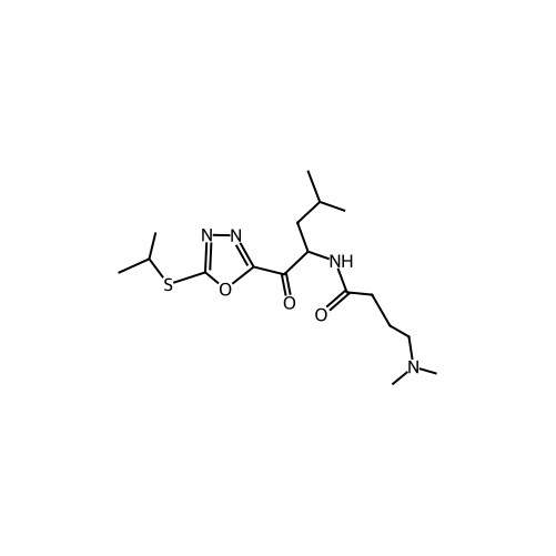 CC(C)CC(NC(=O)CCCN(C)C)C(=O)c1nnc(SC(C)C)o1